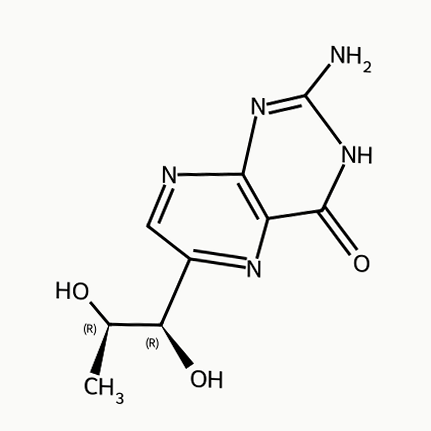 C[C@@H](O)[C@H](O)c1cnc2nc(N)[nH]c(=O)c2n1